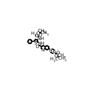 CC(C)(C)OC(=O)Nc1cc(-c2ccccc2)sc1NC(=O)c1cnc2cc(N3CCN(C(=O)OC(C)(C)C)CC3)ccc2c1